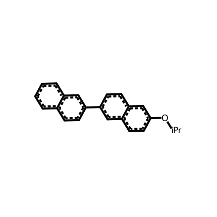 CC(C)Oc1ccc2cc(-c3ccc4ccccc4c3)ccc2c1